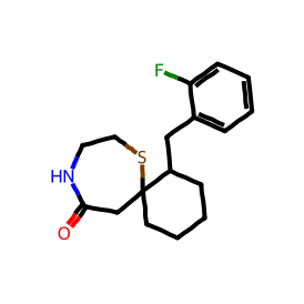 O=C1CC2(CCCCC2Cc2ccccc2F)SCCN1